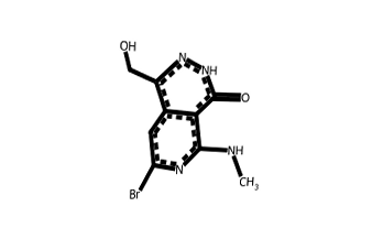 CNc1nc(Br)cc2c(CO)n[nH]c(=O)c12